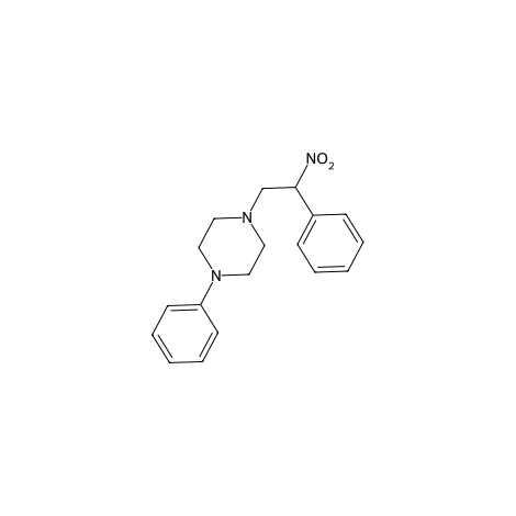 O=[N+]([O-])C(CN1CCN(c2ccccc2)CC1)c1ccccc1